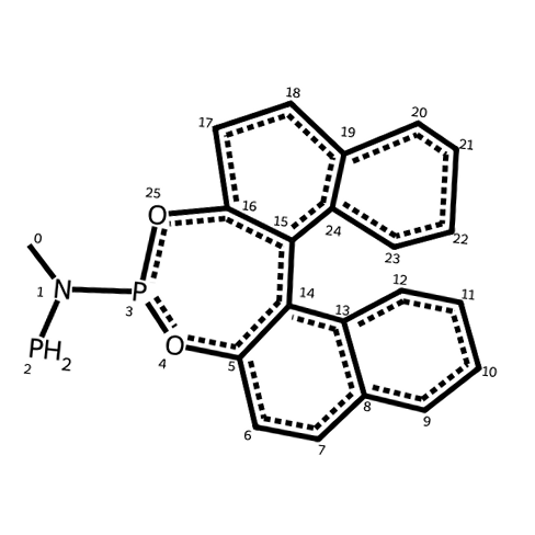 CN(P)p1oc2ccc3ccccc3c2c2c(ccc3ccccc32)o1